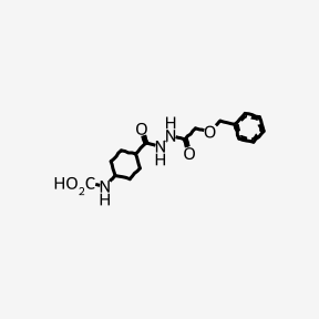 O=C(O)NC1CCC(C(=O)NNC(=O)COCc2ccccc2)CC1